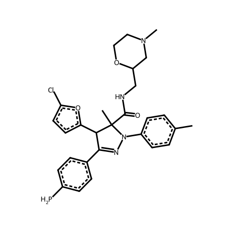 Cc1ccc(N2N=C(c3ccc(P)cc3)C(c3ccc(Cl)o3)C2(C)C(=O)NCC2CN(C)CCO2)cc1